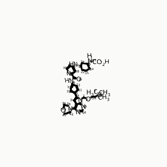 C[Si](C)(C)CCOCn1c(-c2ccc(NC(=O)c3cc(N[C@H]4CCC[C@@H](NC(=O)O)C4)ccn3)cc2)cc2c(N3CCOCC3)ncnc21